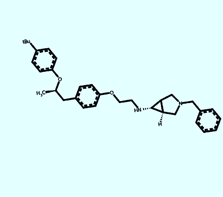 C[C@H](Cc1ccc(OCCN[C@@H]2C3CN(Cc4ccccc4)C[C@H]32)cc1)Oc1ccc(C(C)(C)C)cc1